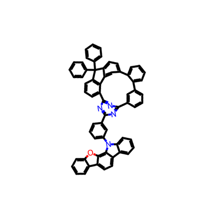 c1ccc(C2(c3ccccc3)c3ccc4cc3-c3c(cccc32)-c2nc(nc(-c3cccc(-n5c6ccccc6c6ccc7c8ccccc8oc7c65)c3)n2)-c2cccc(c2)-c2ccccc2-4)cc1